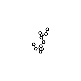 c1ccc(-c2cccc(N3c4ccccc4Oc4cc(-c5cccc(-c6ccc7c8ccccc8n(-c8cccc(-c9ccccc9)c8)c7c6)c5)ccc43)c2)cc1